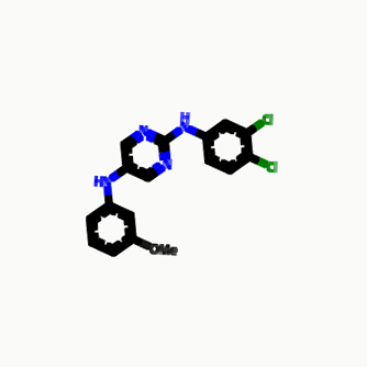 COc1cccc(Nc2cnc(Nc3ccc(Cl)c(Cl)c3)nc2)c1